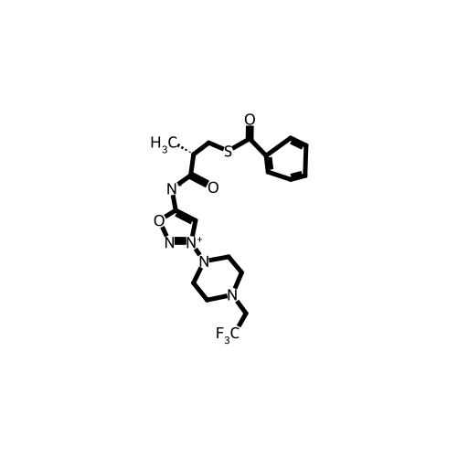 C[C@H](CSC(=O)c1ccccc1)C(=O)[N-]c1c[n+](N2CCN(CC(F)(F)F)CC2)no1